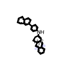 C/C=c1/cccc/c1=C/C1=CC=C(Nc2ccc(-c3ccc4ccccc4c3)cc2)CC1